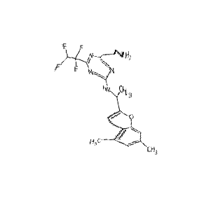 Cc1cc(C)c2cc(C(C)Nc3nc(N)nc(C(F)(F)C(F)F)n3)oc2c1